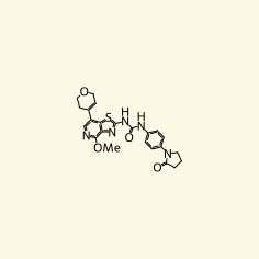 COc1ncc(C2=CCOCC2)c2sc(NC(=O)Nc3ccc(N4CCCC4=O)cc3)nc12